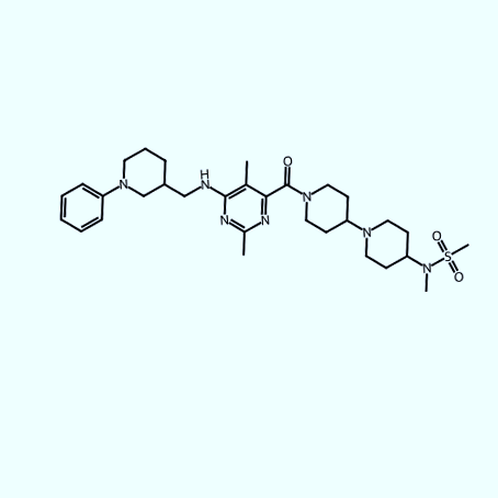 Cc1nc(NCC2CCCN(c3ccccc3)C2)c(C)c(C(=O)N2CCC(N3CCC(N(C)S(C)(=O)=O)CC3)CC2)n1